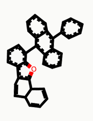 C1=CC2C=Cc3c(oc4c(-c5c6ccccc6c(-c6ccccc6)c6ccccc56)cccc34)C2C=C1